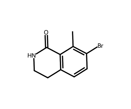 Cc1c(Br)ccc2c1C(=O)NCC2